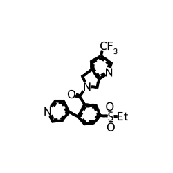 CCS(=O)(=O)c1ccc(-c2ccncc2)c(C(=O)N2Cc3cc(C(F)(F)F)cnc3C2)c1